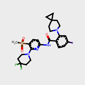 CS(=O)(=O)c1ccc(NC(=O)c2ccc(I)cc2N2CCC3(CC2)CC3)nc1N1CCC(F)(F)CC1